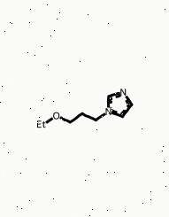 CCOCCCn1ccnc1